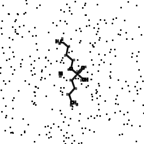 CCCCOP(=O)(O)CCCC.[Ni]